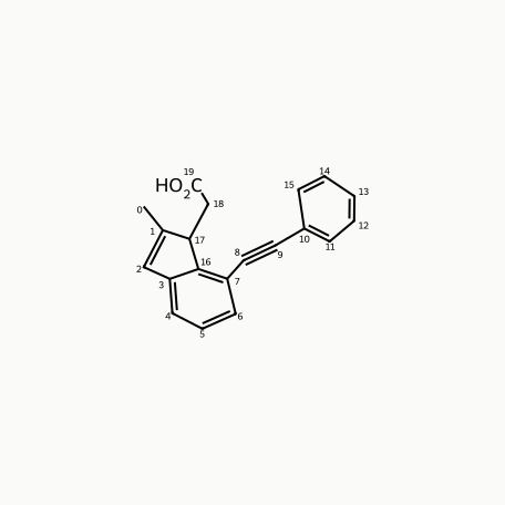 CC1=Cc2cccc(C#Cc3ccccc3)c2C1CC(=O)O